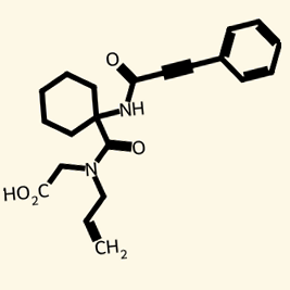 C=CCN(CC(=O)O)C(=O)C1(NC(=O)C#Cc2ccccc2)CCCCC1